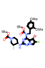 COc1ccc(CN(C(=O)OC(C)(C)C)c2nc(N[C@H]3CCN(C(=O)OC(C)(C)C)C[C@H]3F)nn3cc(F)c(Br)c23)c(OC)c1